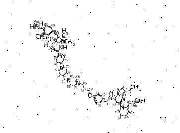 CCc1cnn2c(NCc3ccc(OCCCN4CCN(CC5CCN(c6cnc(C(=O)N[C@H]7C(C)(C)[C@H](Oc8ccc(NC)c(Cl)c8)C7(C)C)nc6)CC5)CC4)nc3)cc(N3CCCCC3CCO)nc12